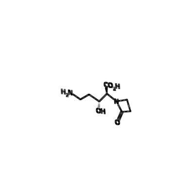 NCC[C@@H](O)[C@@H](C(=O)O)N1CCC1=O